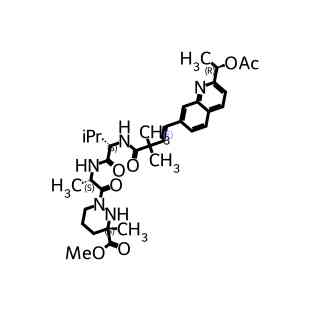 COC(=O)[C@]1(C)CCCN(C(=O)[C@H](C)NC(=O)[C@@H](NC(=O)C(C)(C)/C=C/c2ccc3ccc([C@@H](C)OC(C)=O)nc3c2)C(C)C)N1